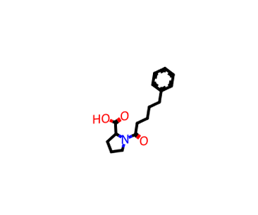 O=C(O)C1CCCN1C(=O)CCCCc1ccccc1